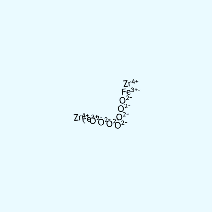 [Fe+3].[Fe+3].[O-2].[O-2].[O-2].[O-2].[O-2].[O-2].[O-2].[Zr+4].[Zr+4]